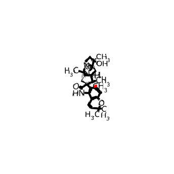 CN1C(=O)[C@]23C[C@H]4C(C)(C)[C@@]5(C[C@@]41CN2CC[C@@]3(C)O)C(=O)Nc1c5ccc2c1C=CC(C)(C)O2